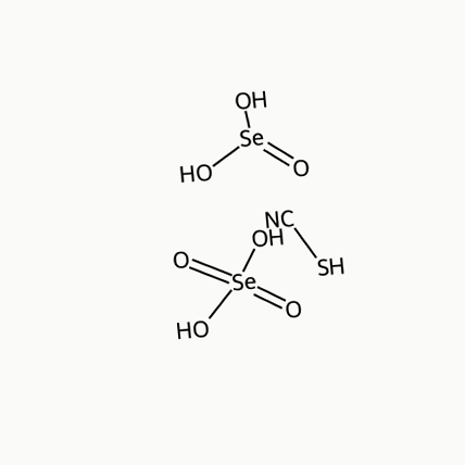 N#CS.O=[Se](=O)(O)O.O=[Se](O)O